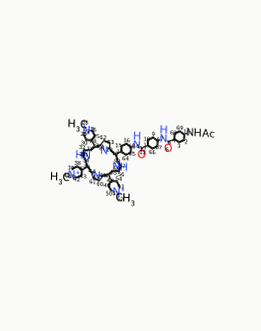 CC(=O)Nc1ccc(C(=O)Nc2ccc(C(=O)Nc3ccc(-c4c5nc(c(-c6cc[n+](C)cc6)c6ccc([nH]6)c(-c6cc[n+](C)cc6)c6nc(c(-c7cc[n+](C)cc7)c7ccc4[nH]7)C=C6)C=C5)cc3)cc2)cc1